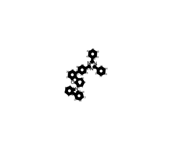 C1=CC(n2c3ccccc3c3ccccc32)=C2Oc3cccc(-c4ccc(-c5nc(-c6ccccc6)nc(-c6ccccc6)n5)cc4)c3C2C1